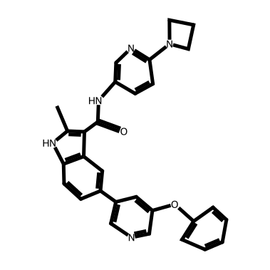 Cc1[nH]c2ccc(-c3cncc(Oc4ccccc4)c3)cc2c1C(=O)Nc1ccc(N2CCC2)nc1